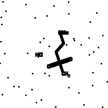 CNCCS(C)(=O)=O.Cl